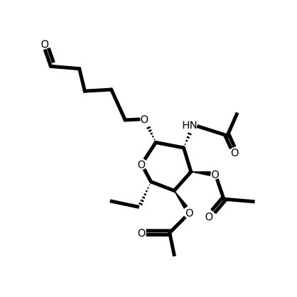 CC[C@@H]1O[C@H](OCCCCC=O)[C@H](NC(C)=O)[C@@H](OC(C)=O)[C@H]1OC(C)=O